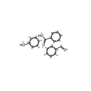 O=C(O)c1ccccc1.O=Cc1ccccc1.Oc1ccccc1